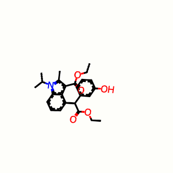 CCOC(=O)c1c(C)n(C(C)C)c2cccc(C(C(=O)OCC)c3cccc(O)c3)c12